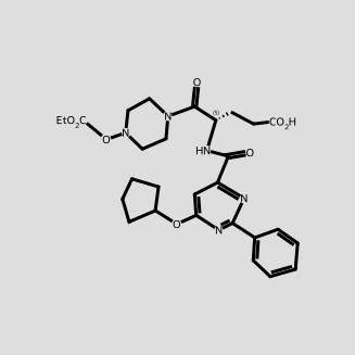 CCOC(=O)ON1CCN(C(=O)[C@H](CCC(=O)O)NC(=O)c2cc(OC3CCCC3)nc(-c3ccccc3)n2)CC1